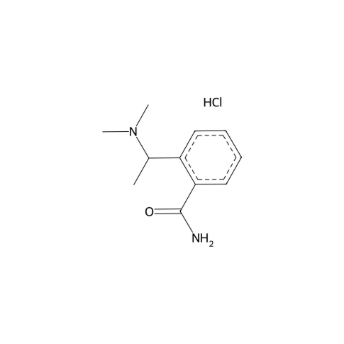 CC(c1ccccc1C(N)=O)N(C)C.Cl